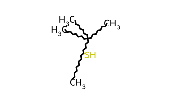 CCCCCCCCCCC(S)CCCCC(CCCCCCCC)(CCCCCCCC)CCCCCCCC